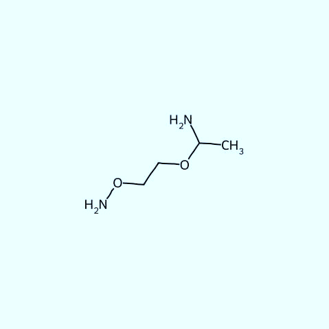 CC(N)OCCON